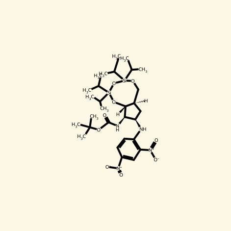 CC(C)[Si]1(C(C)C)OC[C@H]2C[C@@H](Nc3ccc([N+](=O)[O-])cc3[N+](=O)[O-])[C@@H](NC(=O)OC(C)(C)C)[C@@H]2O[Si](C(C)C)(C(C)C)O1